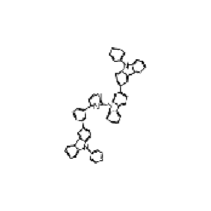 c1ccc(-n2c3ccccc3c3cc(-c4cccc(-c5ccnc(-n6c7ccccc7c7ccc(-c8ccc9c(c8)c8ccccc8n9-c8ccccc8)cc76)n5)c4)ccc32)cc1